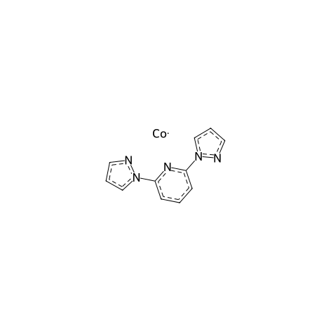 [Co].c1cc(-n2cccn2)nc(-n2cccn2)c1